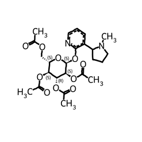 CC(=O)OC[C@@H]1O[C@@H](Oc2ncccc2C2CCCN2C)[C@@H](OC(C)=O)[C@H](OC(C)=O)[C@H]1OC(C)=O